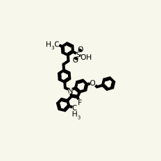 Cc1ccc(S(=O)(=O)O)c(CCc2ccc(Cn3c(-c4ccccc4C)c(F)c4cc(OCc5ccccc5)ccc43)cc2)c1